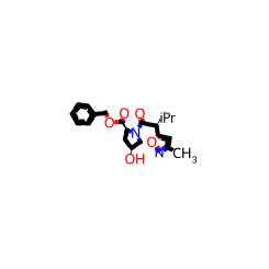 Cc1cc([C@H](C(=O)N2C[C@H](O)C[C@H]2C(=O)OCc2ccccc2)C(C)C)on1